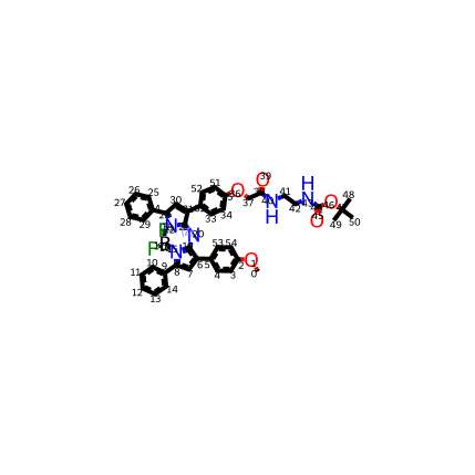 COc1ccc(-c2cc(-c3ccccc3)n(B(F)F)c2/N=C2\N=C(c3ccccc3)C=C2c2ccc(OCC(=O)NCCNC(=O)OC(C)(C)C)cc2)cc1